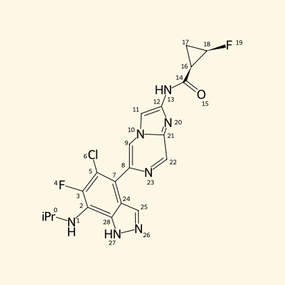 CC(C)Nc1c(F)c(Cl)c(-c2cn3cc(NC(=O)[C@H]4C[C@H]4F)nc3cn2)c2cn[nH]c12